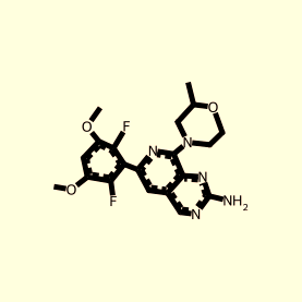 COc1cc(OC)c(F)c(-c2cc3cnc(N)nc3c(N3CCOC(C)C3)n2)c1F